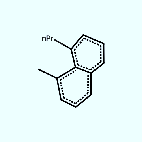 CCCc1cccc2cccc(C)c12